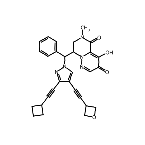 CN1CC(C(c2ccccc2)n2cc(C#CC3COC3)c(C#CC3CCC3)n2)n2ncc(=O)c(O)c2C1=O